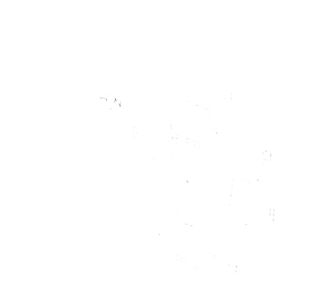 Nc1ccc(C(Cc2cccc(Cl)c2)(Cc2cccc(Cl)c2)Cc2cccc(Cl)c2)cc1